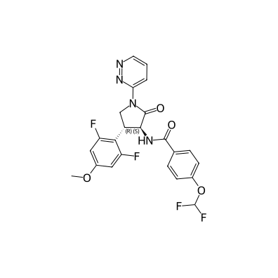 COc1cc(F)c([C@@H]2CN(c3cccnn3)C(=O)[C@H]2NC(=O)c2ccc(OC(F)F)cc2)c(F)c1